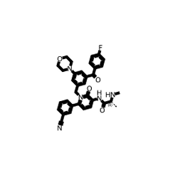 CN[C@H](C)C(=O)Nc1ccc(-c2cccc(C#N)c2)n(Cc2cc(C(=O)c3ccc(F)cc3)cc(N3CCOCC3)c2)c1=O